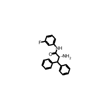 N[C@@H](C(=O)Nc1cccc(F)c1)C(c1ccccc1)c1ccccc1